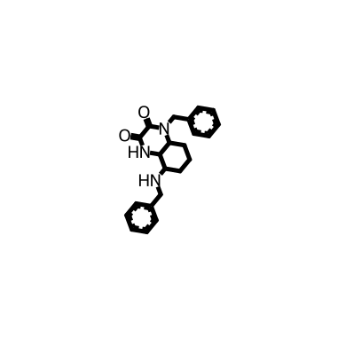 O=C1NC2C(NCc3ccccc3)CCCC2N(Cc2ccccc2)C1=O